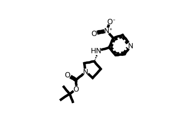 CC(C)(C)OC(=O)N1CC[C@@H](Nc2ccncc2[N+](=O)[O-])C1